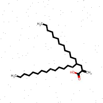 C=C(CC(CCCCCCCCCCCC)CCCCCCCCCCCCCC)C(=O)O